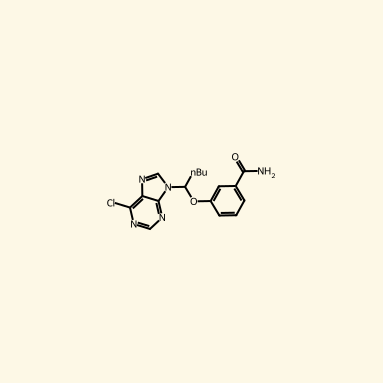 CCCCC(Oc1cccc(C(N)=O)c1)n1cnc2c(Cl)ncnc21